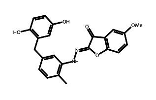 COc1ccc2c(c1)C(=O)C(=NNc1cc(Cc3cc(O)ccc3O)ccc1C)O2